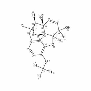 [2H]C([2H])([2H])Oc1ccc2c3c1OC1([2H])C([2H])(O)C=C[C@@]4([2H])[C@@H](C2)N(C)CC[C@]314